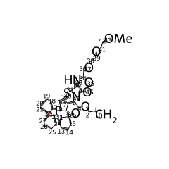 C=CCOC(=O)C1=C(CP(I)(c2ccccc2)(c2ccccc2)c2ccccc2)CSC2[C@H](NC(=O)COCCOCCOC)C(=O)N12